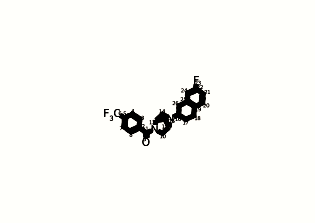 O=C(c1ccc(C(F)(F)F)cc1)N1CC2CC1CN2C1CCc2ccc(F)cc2C1